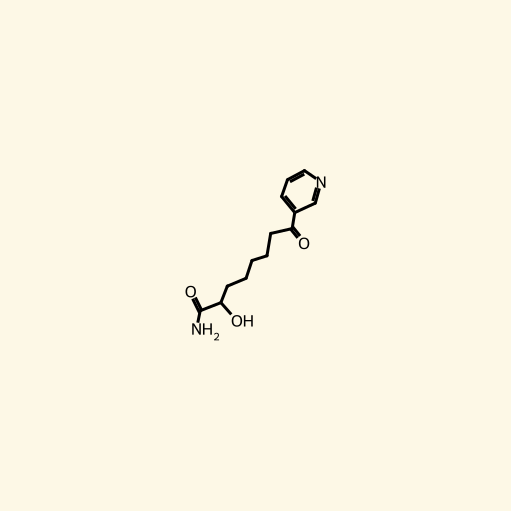 NC(=O)C(O)CCCCCC(=O)c1cccnc1